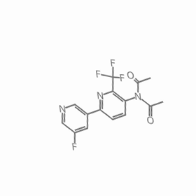 CC(=O)N(C(C)=O)c1ccc(-c2cncc(F)c2)nc1C(F)(F)F